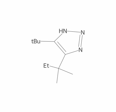 CCC(C)(C)c1nn[nH]c1C(C)(C)C